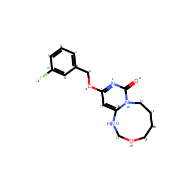 O=c1nc(OCc2cccc(F)c2)cc2n1CCCCOCN2